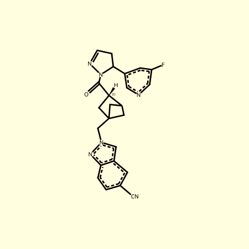 N#Cc1ccc2nn(CC34CC(C3)[C@@H](C(=O)N3N=CCC3c3cncc(F)c3)C4)cc2c1